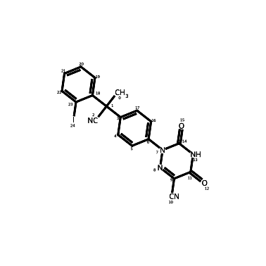 CC(C#N)(c1ccc(-n2nc(C#N)c(=O)[nH]c2=O)cc1)c1ccccc1I